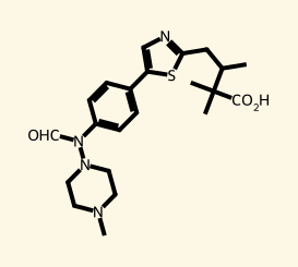 CC(Cc1ncc(-c2ccc(N(C=O)N3CCN(C)CC3)cc2)s1)C(C)(C)C(=O)O